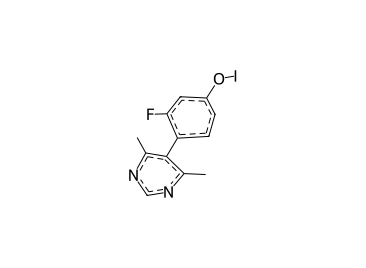 Cc1ncnc(C)c1-c1ccc(OI)cc1F